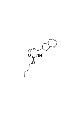 CCCCOC(=O)NC([C]=O)C1Cc2ccccc2C1